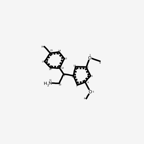 COc1cc(OC)cc(C(CN)c2ccc(C)cc2)c1